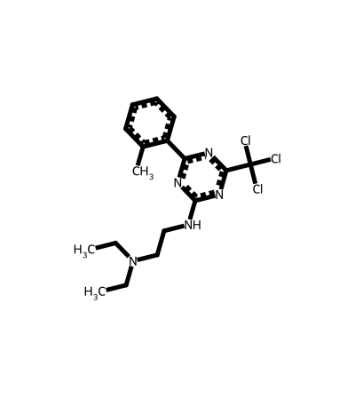 CCN(CC)CCNc1nc(-c2ccccc2C)nc(C(Cl)(Cl)Cl)n1